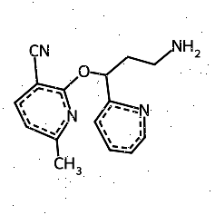 Cc1ccc(C#N)c(OC(CCN)c2ccccn2)n1